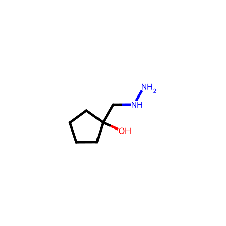 NNCC1(O)CCCC1